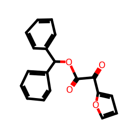 O=C(OC(c1ccccc1)c1ccccc1)C(=O)c1ccco1